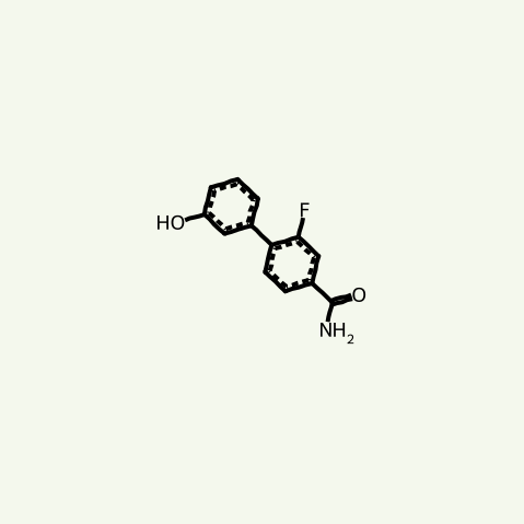 NC(=O)c1ccc(-c2cccc(O)c2)c(F)c1